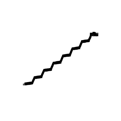 [CH]=C/C=C/C=C/C=C/C=C/C=C/C=C/CCCC